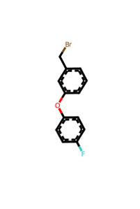 Fc1ccc(Oc2cccc(CBr)c2)cc1